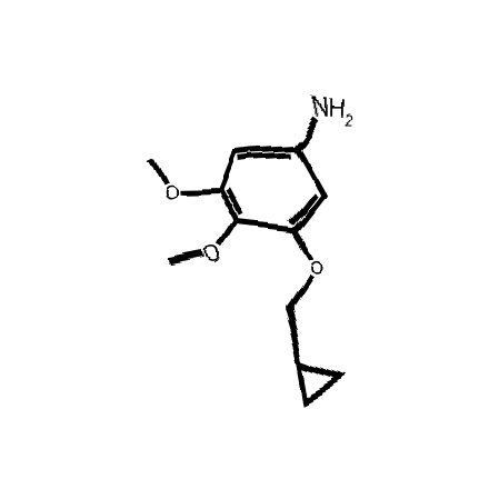 COc1cc(N)cc(OCC2CC2)c1OC